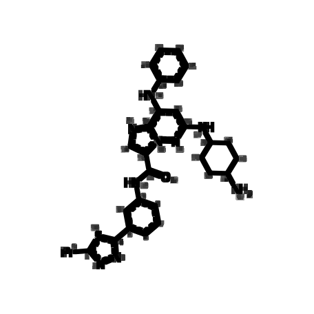 CC(C)c1nnc(-c2cccc(NC(=O)c3cnc4c(Nc5ccccc5)cc(NC5CCC(N)CC5)nn34)c2)s1